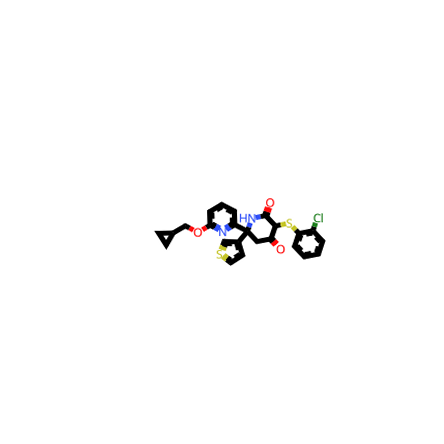 O=C1CC(c2ccsc2)(c2cccc(OCC3CC3)n2)NC(=O)C1Sc1ccccc1Cl